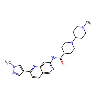 CN1CCC(N2CCC(C(=O)Nc3cc4nc(-c5cnn(C)c5)ccc4cn3)CC2)CC1